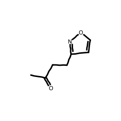 CC(=O)CCc1ccon1